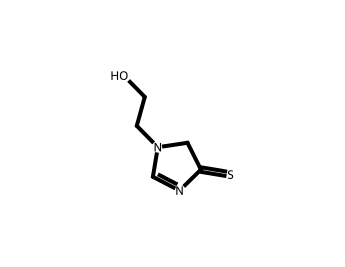 OCCN1C=NC(=S)C1